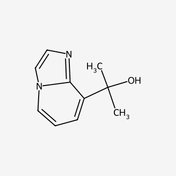 CC(C)(O)c1cccn2ccnc12